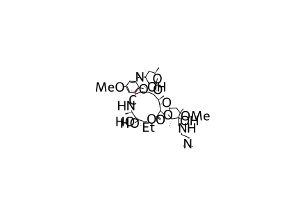 CC[C@H]1OC(=O)[C@H](C)[C@@H](O[C@H]2C[C@@](C)(OC)[C@](O)(CNCCN(C)C)[C@H](C)O2)[C@H](C)[C@@H](O[C@@H]2O[C@H](C)C[C@H](N(C)C)[C@H]2Oc2ccc(OC)cc2)[C@](C)(O)C[C@@H](C)CN[C@H](C)[C@@H](O)[C@]1(C)O